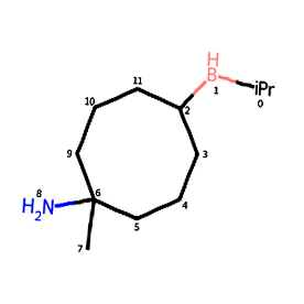 CC(C)BC1CCCC(C)(N)CCC1